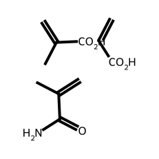 C=C(C)C(=O)O.C=C(C)C(N)=O.C=CC(=O)O